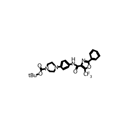 CC(C)(C)OC(=O)N1CCN(c2ccc(NC(=O)c3nc(-c4ccccc4)oc3C(F)(F)F)cc2)CC1